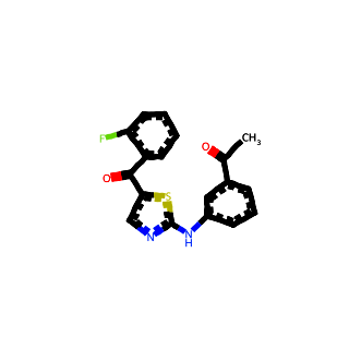 CC(=O)c1cccc(Nc2ncc(C(=O)c3ccccc3F)s2)c1